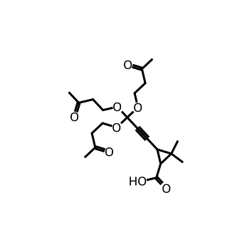 CC(=O)CCOC(C#CC1C(C(=O)O)C1(C)C)(OCCC(C)=O)OCCC(C)=O